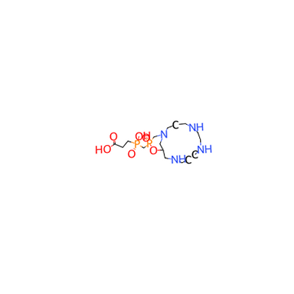 O=C(O)CCP(=O)(O)CP1(=O)CN2CCCNCCNCCCNCC(C2)O1